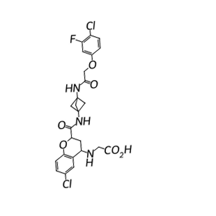 O=C(O)CNC1CC(C(=O)NC23CC(NC(=O)COc4ccc(Cl)c(F)c4)(C2)C3)Oc2ccc(Cl)cc21